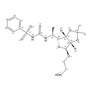 CCCCCCCCCCCCO[C@H]1O[C@H]([C@H](C)NC(=O)NS(=O)(=O)c2ccccc2)[C@@H]2OC(C)(C)O[C@H]12